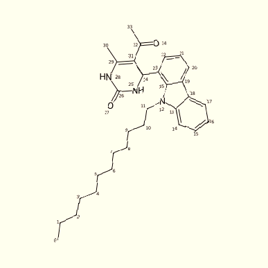 CCCCCCCCCCCCn1c2ccccc2c2cccc(C3NC(=O)NC(C)=C3C(C)=O)c21